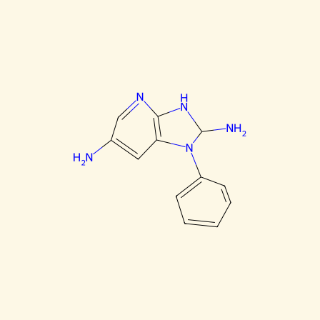 Nc1cnc2c(c1)N(c1ccccc1)C(N)N2